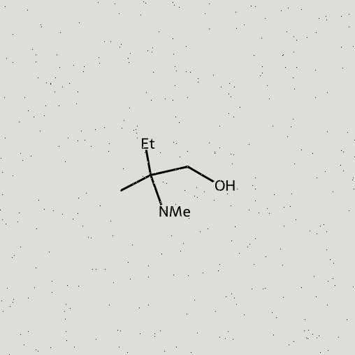 CCC(C)(CO)NC